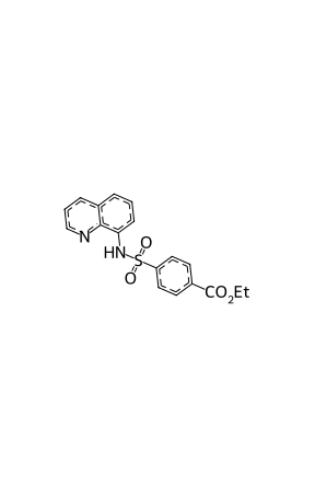 CCOC(=O)c1ccc(S(=O)(=O)Nc2cccc3cccnc23)cc1